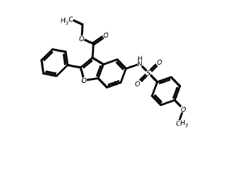 CCOC(=O)c1c(-c2ccccc2)oc2ccc(NS(=O)(=O)c3ccc(OC)cc3)cc12